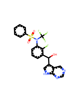 O=S(=O)(c1ccccc1)N(c1cccc(C(O)c2c[nH]c3ncncc23)c1F)C(F)(F)F